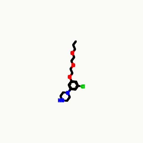 CCCOCCOCCOc1cc(Cl)cc(N2CCNCC2)c1